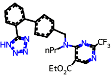 CCCN(Cc1ccc(-c2ccccc2-c2nnn[nH]2)cc1)c1nc(C(F)(F)F)ncc1C(=O)OCC